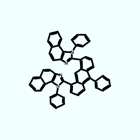 c1ccc(-c2c3cccc(-c4nc5ccc6ccccc6c5n4-c4ccccc4)c3cc3c(-c4nc5ccc6ccccc6c5n4-c4ccccc4)cccc23)cc1